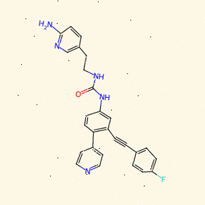 Nc1ccc(CCNC(=O)Nc2ccc(-c3ccncc3)c(C#Cc3ccc(F)cc3)c2)cn1